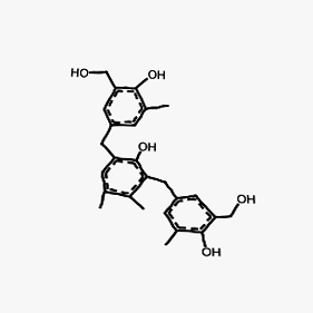 Cc1cc(Cc2cc(C)c(O)c(CO)c2)c(O)c(Cc2cc(C)c(O)c(CO)c2)c1C